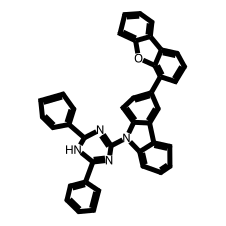 c1ccc(C2=NC(n3c4ccccc4c4cc(-c5cccc6c5oc5ccccc56)ccc43)=NC(c3ccccc3)N2)cc1